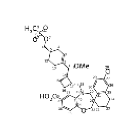 CO[C@@H](C1=CC[C@H](COS(C)(=O)=O)CC1)[C@@H]1CC[C@H]1CN1CC2(CCCc3cc(Cl)ccc32)COc2ccc(C(=O)O)cc21